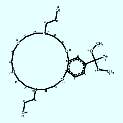 COC(O)(OC)c1ccc2c(c1)OCCN(CCO)CCOCCOCCN(CCO)CCO2